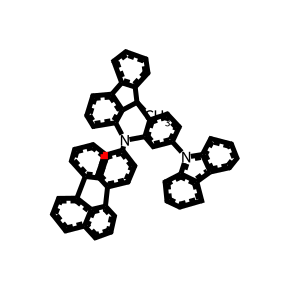 CC12c3ccccc3-c3cccc(c31)N(c1ccc(-c3cccc4cccc(-c5ccccc5)c34)cc1)c1cc(-n3c4ccccc4c4ccccc43)ccc12